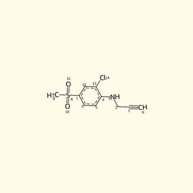 C#CCNc1ccc(S(C)(=O)=O)cc1Cl